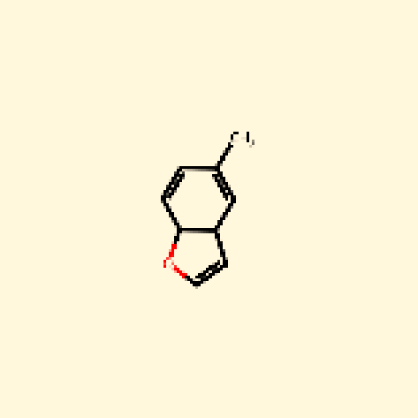 CC1=CC2C=COC2C=C1